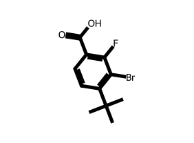 CC(C)(C)c1ccc(C(=O)O)c(F)c1Br